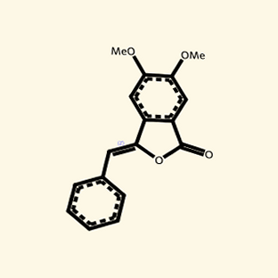 COc1cc2c(cc1OC)/C(=C/c1ccccc1)OC2=O